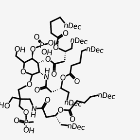 CCCCCCCCCCCCCC(=O)O[C@H](CCCCCCCCCCC)CC(=O)NCC(CO)(COC1OC(CO)[C@@H](OP(=O)(O)O)[C@H](OC(=O)C[C@@H](CCCCCCCCCCC)OC(=O)CCCCCCCCCCCCC)[C@@H]1NC(=O)C[C@@H](CCCCCCCCCCC)OC(=O)CCCCCCCCCCCCC)COP(C)(=O)O